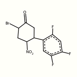 O=C1CC(c2cc(F)c(F)cc2F)C([N+](=O)[O-])CC1Br